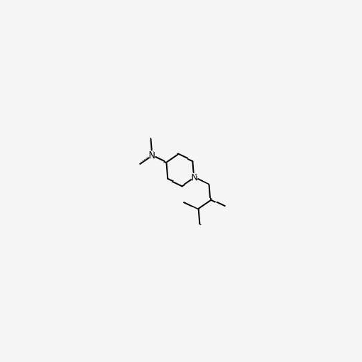 CC(C)C(C)CN1CCC(N(C)C)CC1